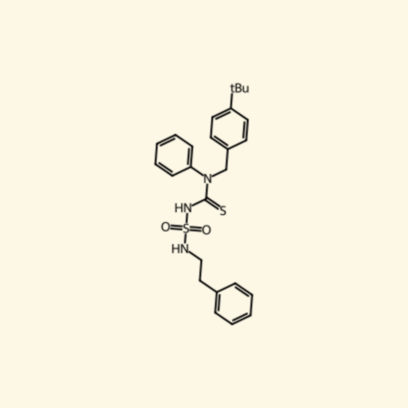 CC(C)(C)c1ccc(CN(C(=S)NS(=O)(=O)NCCc2ccccc2)c2ccccc2)cc1